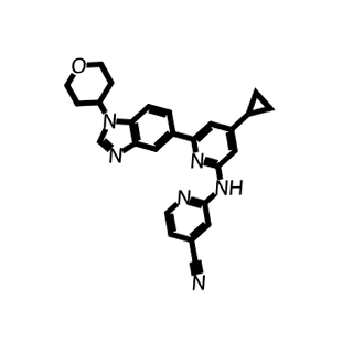 N#Cc1ccnc(Nc2cc(C3CC3)cc(-c3ccc4c(c3)ncn4C3CCOCC3)n2)c1